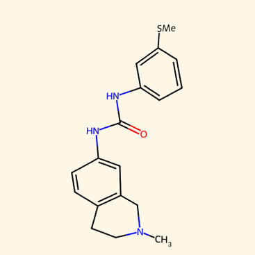 CSc1cccc(NC(=O)Nc2ccc3c(c2)CN(C)CC3)c1